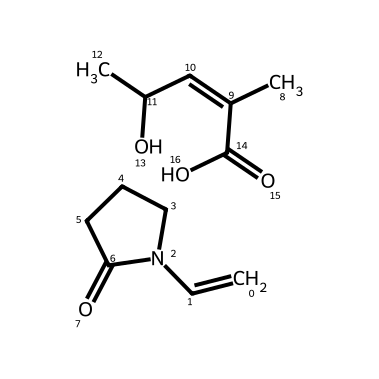 C=CN1CCCC1=O.CC(=CC(C)O)C(=O)O